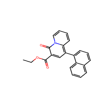 CCOC(=O)c1cc(-c2cccc3ccccc23)c2ccccn2c1=O